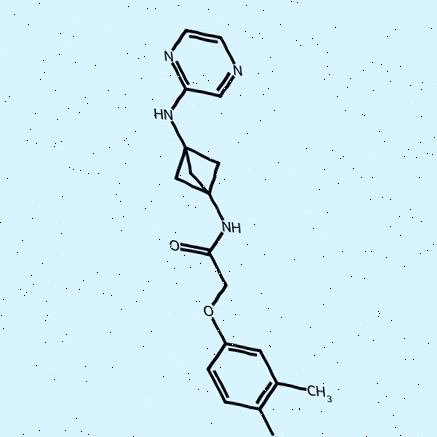 Cc1ccc(OCC(=O)NC23CC(Nc4cnccn4)(C2)C3)cc1C